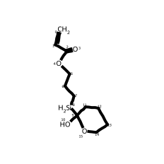 C=CC(=O)OCCC[SiH2]C1(O)CCCCO1